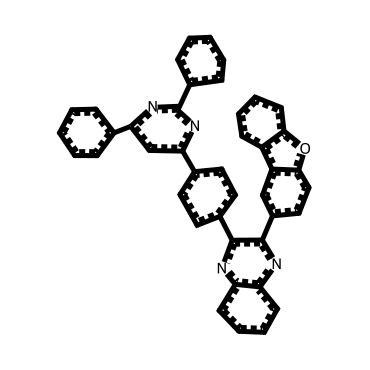 c1ccc(-c2cc(-c3ccc(-c4nc5ccccc5nc4-c4ccc5oc6ccccc6c5c4)cc3)nc(-c3ccccc3)n2)cc1